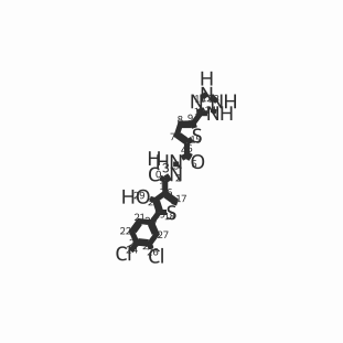 C/C(=N\NC(=O)c1ccc(C2=NNNN2)s1)c1csc(-c2ccc(Cl)c(Cl)c2)c1O